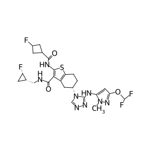 Cn1nc(OC(F)F)cc1Nc1nncn1[C@H]1CCc2sc(NC(=O)C3CC(F)C3)c(C(=O)NC[C@@H]3C[C@@H]3F)c2C1